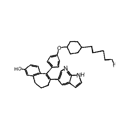 Oc1ccc2c(c1)CCCC(c1cnc3[nH]ccc3c1)=C2c1ccc(OC2CCC(CCCCCF)CC2)cc1